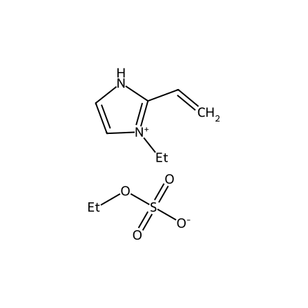 C=Cc1[nH]cc[n+]1CC.CCOS(=O)(=O)[O-]